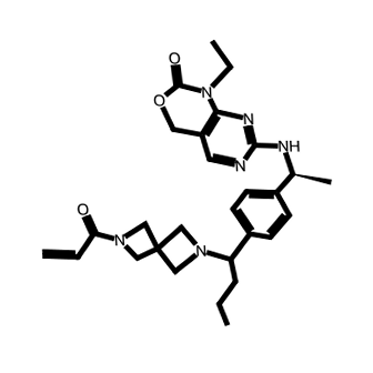 C=CC(=O)N1CC2(C1)CN(C(CCC)c1ccc([C@H](C)Nc3ncc4c(n3)N(CC)C(=O)OC4)cc1)C2